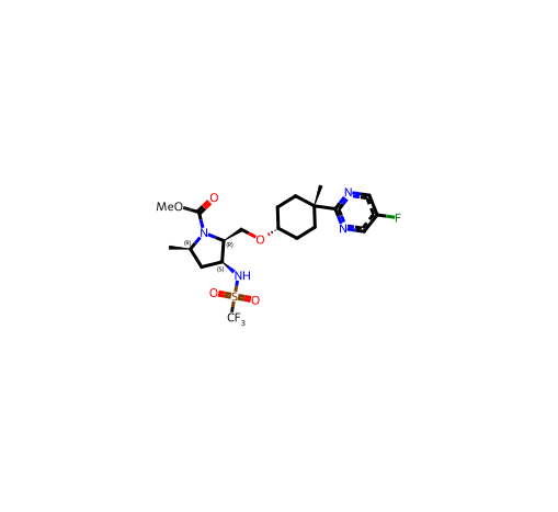 COC(=O)N1[C@H](C)C[C@H](NS(=O)(=O)C(F)(F)F)[C@@H]1CO[C@H]1CC[C@@](C)(c2ncc(F)cn2)CC1